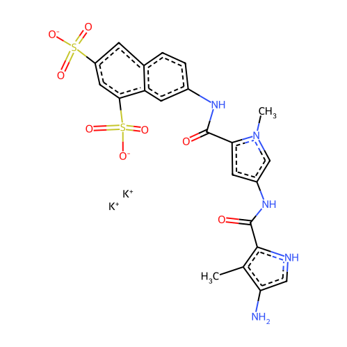 Cc1c(N)c[nH]c1C(=O)Nc1cc(C(=O)Nc2ccc3cc(S(=O)(=O)[O-])cc(S(=O)(=O)[O-])c3c2)n(C)c1.[K+].[K+]